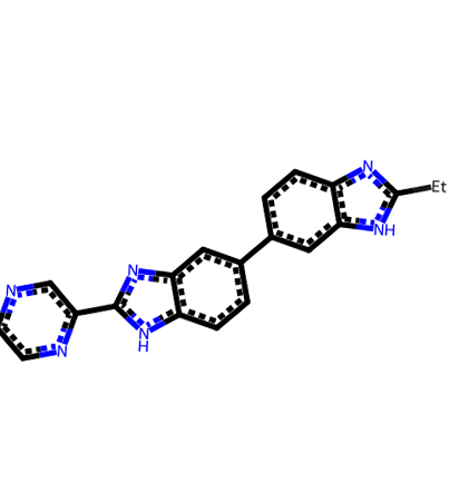 CCc1nc2ccc(-c3ccc4[nH]c(-c5cnccn5)nc4c3)cc2[nH]1